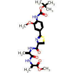 C=C(NC(=O)c1csc(-c2ccc(NC(=O)OC(C)(C)C)c(OC)c2)n1)C(=O)NC(=C)C(=O)OC